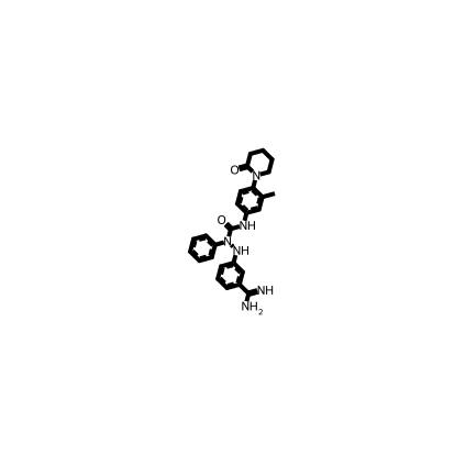 Cc1cc(NC(=O)N(Nc2cccc(C(=N)N)c2)c2ccccc2)ccc1N1CCCCC1=O